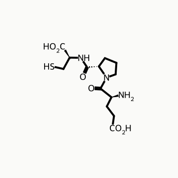 N[C@@H](CCC(=O)O)C(=O)N1CCC[C@H]1C(=O)N[C@@H](CS)C(=O)O